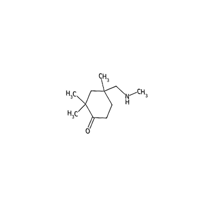 CNCC1(C)CCC(=O)C(C)(C)C1